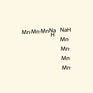 [Mn].[Mn].[Mn].[Mn].[Mn].[Mn].[Mn].[NaH].[NaH]